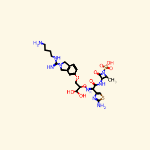 CC1C(NC(=O)/C(=N\OC(COc2ccc3c(c2)CN(C(=N)NCCCCN)C3)C(O)O)c2csc(N)n2)C(=O)N1S(=O)(=O)O